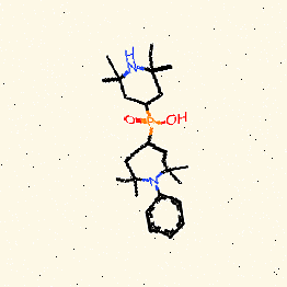 CC1(C)CC(P(=O)(O)C2CC(C)(C)N(c3ccccc3)C(C)(C)C2)CC(C)(C)N1